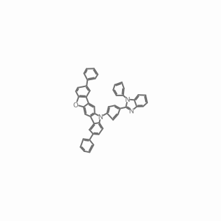 c1ccc(-c2ccc3oc4cc5c6cc(-c7ccccc7)ccc6n(-c6ccc(-c7nc8ccccc8n7-c7ccccc7)cc6)c5cc4c3c2)cc1